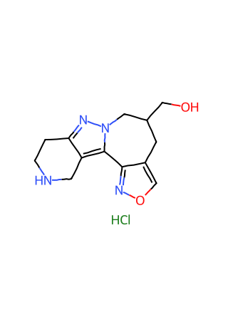 Cl.OCC1Cc2conc2-c2c3c(nn2C1)CCNC3